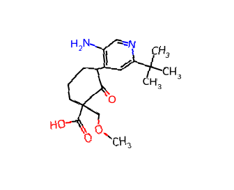 COCC1(C(=O)O)CCCC(c2cc(C(C)(C)C)ncc2N)C1=O